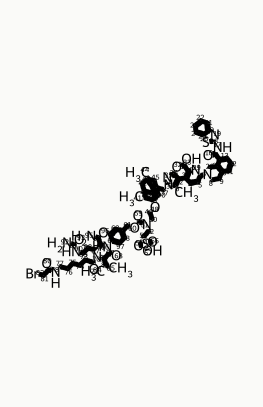 Cc1c(-c2ccc(N3CCc4cccc(C(=O)Nc5nc6ccccc6s5)c4C3)nc2C(=O)O)cnn1CC12CC3(C)CC(C)(C1)CC(OCCN(CCS(=O)(=O)O)C(=O)OCc1ccc(N(C(=O)[C@@H](NC(=O)CCCCCNC(=O)CBr)C(C)C)[C@@H](CCCNC(N)=O)C(N)=O)cc1)(C3)C2